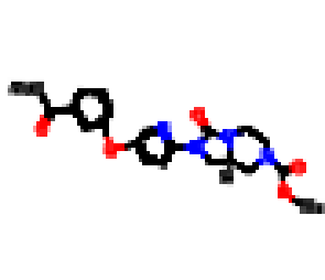 COC(=O)c1cccc(Oc2ccc(N3C[C@@H]4CN(C(=O)OC(C)(C)C)CCN4C3=O)nc2)c1